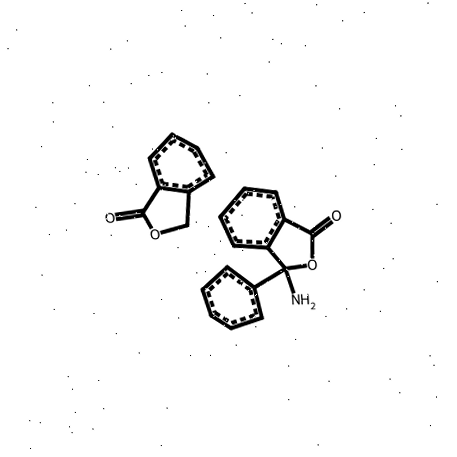 NC1(c2ccccc2)OC(=O)c2ccccc21.O=C1OCc2ccccc21